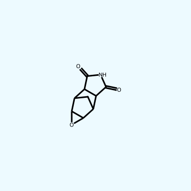 O=C1NC(=O)C2C3CC(C4OC34)C12